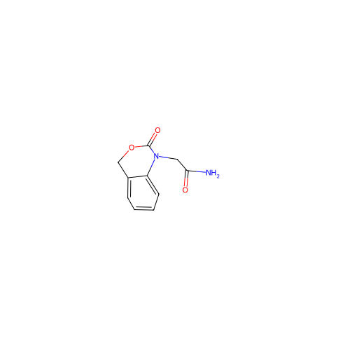 NC(=O)CN1C(=O)OCc2ccccc21